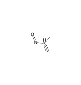 C#[SH](C)N=O